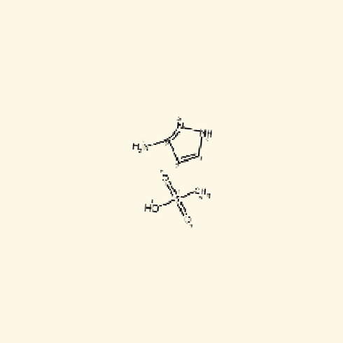 CS(=O)(=O)O.Nc1cc[nH]n1